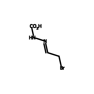 O=C(O)N/N=C/CBr